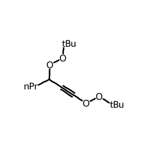 CCCC(C#COOC(C)(C)C)OOC(C)(C)C